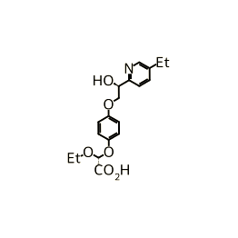 CCO[C@H](Oc1ccc(OC[C@@H](O)c2ccc(CC)cn2)cc1)C(=O)O